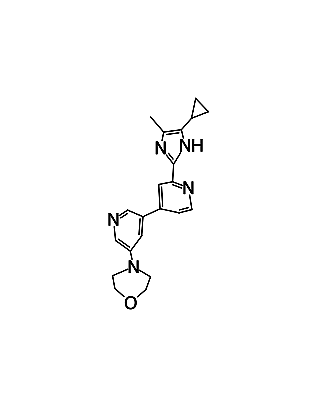 Cc1nc(-c2cc(-c3cncc(N4CCOCC4)c3)ccn2)[nH]c1C1CC1